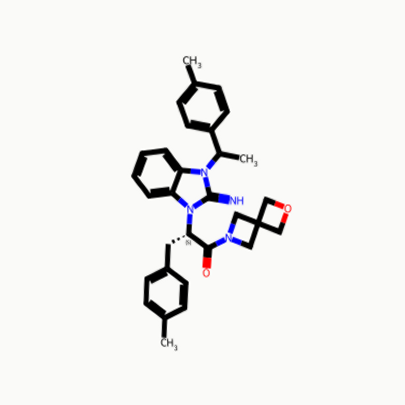 Cc1ccc(C[C@@H](C(=O)N2CC3(COC3)C2)n2c(=N)n(C(C)c3ccc(C)cc3)c3ccccc32)cc1